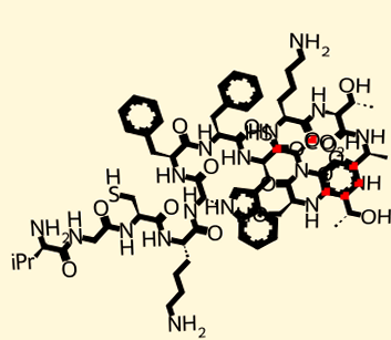 CC(C)[C@@H](N)C(=O)NCC(=O)N[C@@H](CS)C(=O)N[C@@H](CCCCN)C(=O)N[C@@H](C)C(=O)N[C@@H](Cc1ccccc1)C(=O)N[C@@H](Cc1ccccc1)C(=O)N[C@H](Cc1c[nH]c2ccccc12)C(=O)N[C@@H](CCCCN)C(=O)N[C@H](C(=O)N[C@@H](C)C(=O)N[C@H](C(=O)N[C@@H](CO)C(=O)N(c1ccccc1)[C@@H](CS)C(=O)O)[C@@H](C)O)[C@@H](C)O